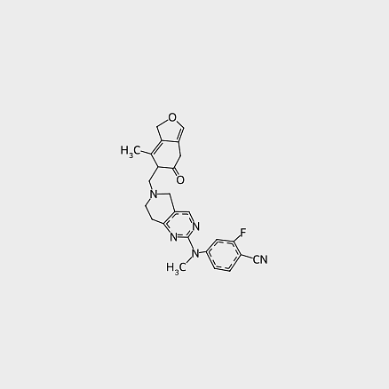 CC1=C2COC=C2CC(=O)C1CN1CCc2nc(N(C)c3ccc(C#N)c(F)c3)ncc2C1